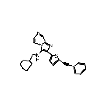 C(#Cc1ccc(-c2nc3cnccn3c2NCC2CCCCC2)s1)c1ccccc1